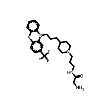 NCC(=O)NCCCN1CCC(CCCN2c3ccccc3Sc3ccc(C(F)(F)F)cc32)CC1